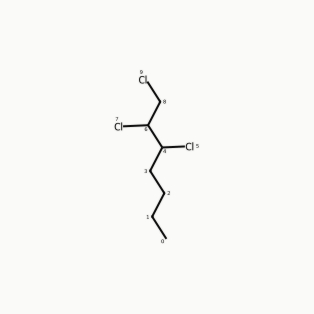 CCCCC(Cl)C(Cl)CCl